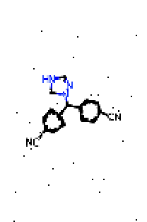 N#Cc1ccc(C(c2ccc(C#N)cc2)N2CNC=N2)cc1